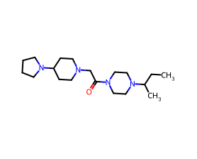 CCC(C)N1CCN(C(=O)CN2CCC(N3CCCC3)CC2)CC1